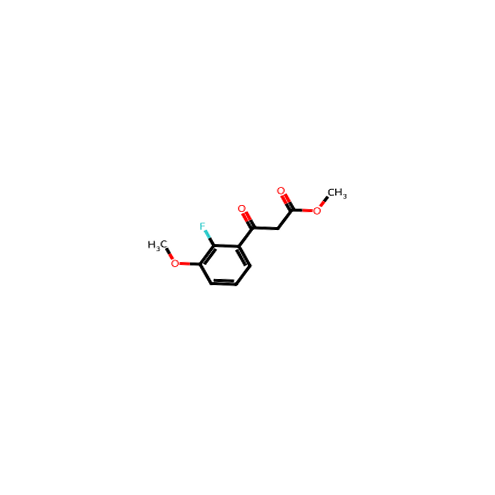 COC(=O)CC(=O)c1cccc(OC)c1F